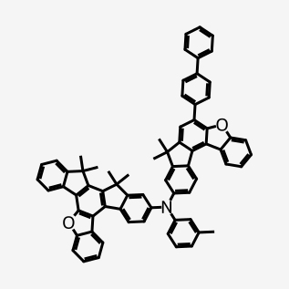 Cc1cccc(N(c2ccc3c(c2)C(C)(C)c2cc(-c4ccc(-c5ccccc5)cc4)c4oc5ccccc5c4c2-3)c2ccc3c(c2)C(C)(C)c2c4c(c5oc6ccccc6c5c2-3)-c2ccccc2C4(C)C)c1